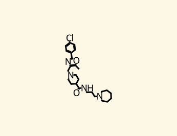 Cc1oc(-c2ccc(Cl)cc2)nc1CN1CCC(C(=O)NCCCN2CCCCCC2)CC1